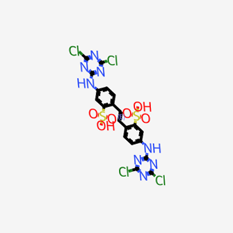 O=S(=O)(O)c1cc(Nc2nc(Cl)nc(Cl)n2)ccc1/C=C/c1ccc(Nc2nc(Cl)nc(Cl)n2)cc1S(=O)(=O)O